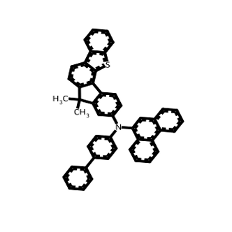 CC1(C)c2cc(N(c3ccc(-c4ccccc4)cc3)c3cc4ccccc4c4ccccc34)ccc2-c2c1ccc1c2sc2ccccc21